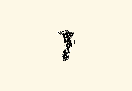 N#Cc1cc2cnc(Nc3ccc(N4CCC(N5CCOCC5)CC4)cn3)nc2n(C2CCCC2)c1=O